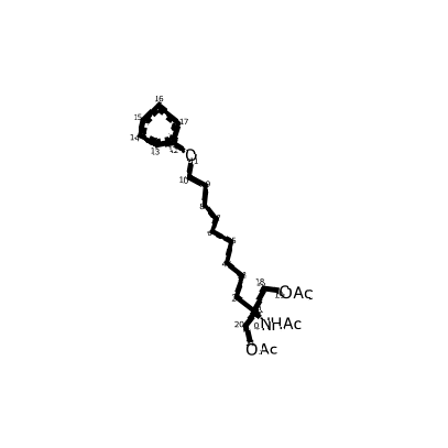 CC(=O)NC(CCCCCCCCCOc1ccccc1)(COC(C)=O)COC(C)=O